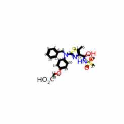 Cc1sc(N(Cc2ccccc2)c2ccc(OCC(=O)O)cc2)nc1C(O)NS(C)(=O)=O